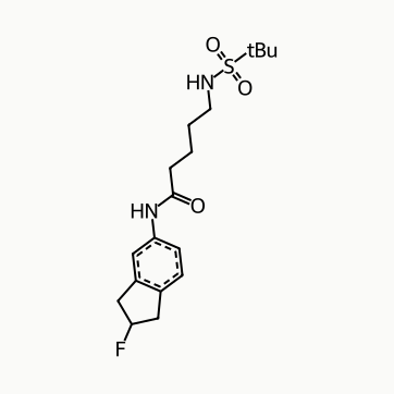 CC(C)(C)S(=O)(=O)NCCCCC(=O)Nc1ccc2c(c1)CC(F)C2